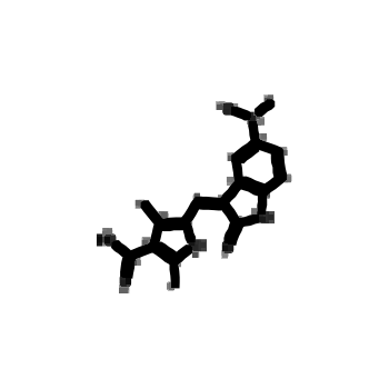 Cc1[nH]c(/C=C2\C(=O)Nc3ccc([S+](C)[O-])cc32)c(C)c1C(=O)O